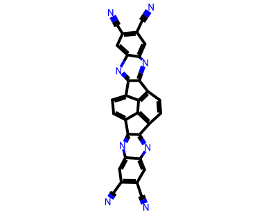 N#Cc1cc2nc3c(nc2cc1C#N)-c1ccc2c4c(ccc-3c14)-c1nc3cc(C#N)c(C#N)cc3nc1-2